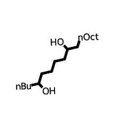 CCCCCCCCCC(O)CCCCC(O)CCCC